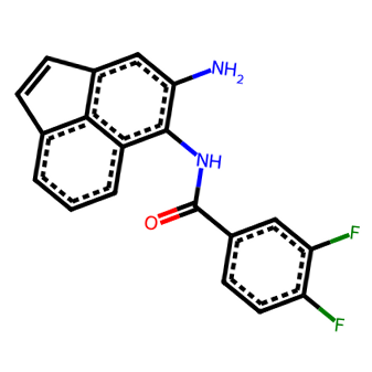 Nc1cc2c3c(cccc3c1NC(=O)c1ccc(F)c(F)c1)C=C2